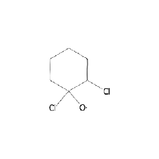 [O]C1(Cl)CCCCC1Cl